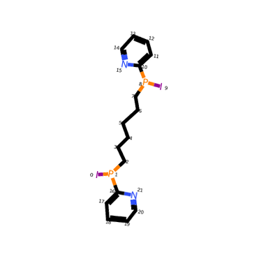 IP(CCCCCCP(I)c1ccccn1)c1ccccn1